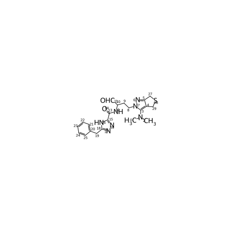 CN(C)c1c2c(nn1CCC(C=O)NC(=O)c1nnc(Cc3ccccc3)[nH]1)CSC2